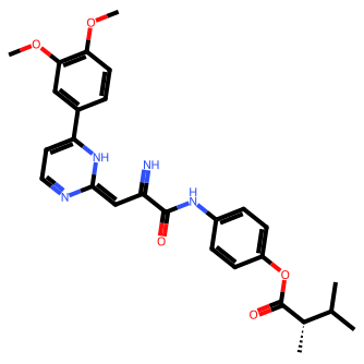 COc1ccc(C2=CC=N/C(=C/C(=N)C(=O)Nc3ccc(OC(=O)[C@@H](C)C(C)C)cc3)N2)cc1OC